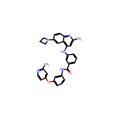 Cc1cc(Oc2cccc(NC(=O)c3cccc(Nc4cc(C)nc5ccc(N6CCC6)cc45)c3)c2)ccn1